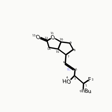 CCCCC(F)C(O)/C=C/C1CCC2OC(=O)CC12